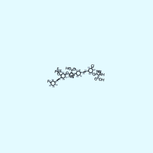 O=C(O)c1[nH]nnc1Oc1cc(Cl)cc(C#Cc2ccc(-n3nnc(Oc4ccc(C#Cc5cccc(F)c5)c(OC(F)(F)F)c4)c3C(=O)O)cc2)c1